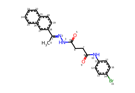 CC(=NNC(=O)CCC(=O)Nc1ccc(Br)cc1)c1ccc2ccccc2c1